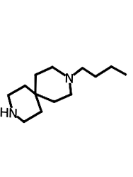 CCCCN1CCC2(CCNCC2)CC1